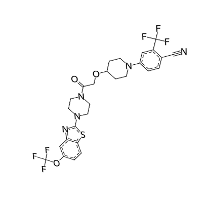 N#Cc1ccc(N2CCC(OCC(=O)N3CCN(c4nc5cc(OC(F)(F)F)ccc5s4)CC3)CC2)cc1C(F)(F)F